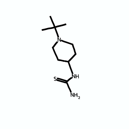 CC(C)(C)N1CCC(NC(N)=S)CC1